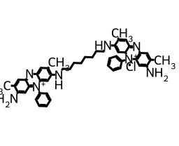 CC1=CC2=Nc3cc(C)c(N)cc3[N+](Cl)(c3ccccc3)C2C=C1NCCCCCCCCNc1cc2c(cc1C)nc1cc(C)c(N)cc1[n+]2-c1ccccc1